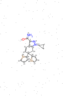 NC(=O)c1nn(C2CC2)c2c1C=CC(c1cccs1)(c1cccs1)C2